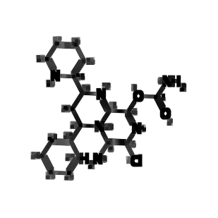 NC(=O)OC1=NC(Cl)=C(N)N2C1=NC(c1ccccn1)CC2c1ccccc1